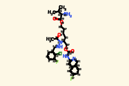 CC(=O)N(NCc1cccc(F)c1Cl)[C@@H](CCCCOC(=O)[C@H](N)C(C)C)COC(=O)Nc1cc2cc(F)ccc2cn1